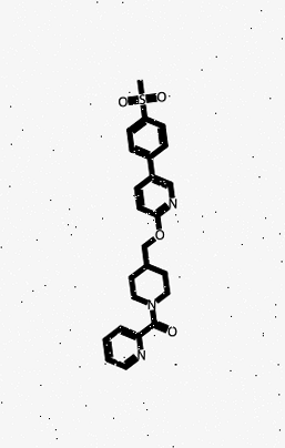 CS(=O)(=O)c1ccc(-c2ccc(OCC3CCN(C(=O)c4ccccn4)CC3)nc2)cc1